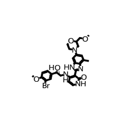 COCC1CN(c2cc(C)c3nc(-c4c(NC[C@@H](O)c5ccc(OC)c(Br)c5)cc[nH]c4=O)[nH]c3c2)CCO1